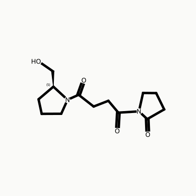 O=C1CCCN1C(=O)CCC(=O)N1CCC[C@H]1CO